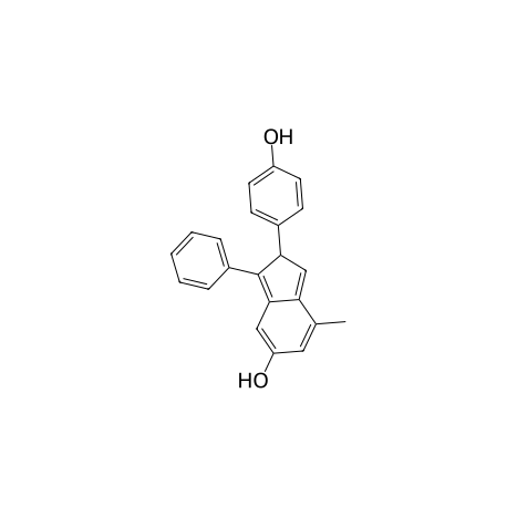 Cc1cc(O)cc2c1=CC(c1ccc(O)cc1)C=2c1ccccc1